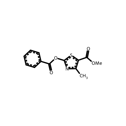 COC(=O)c1sc(OC(=O)c2ccccc2)nc1C